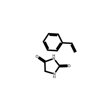 C=Cc1ccccc1.O=C1CNC(=O)N1